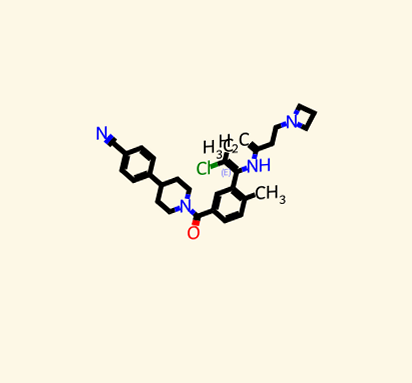 C=C(CCN1CCC1)N/C(=C(\C)Cl)c1cc(C(=O)N2CCC(c3ccc(C#N)cc3)CC2)ccc1C